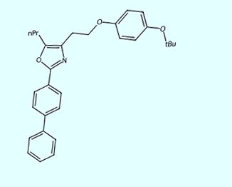 CCCc1oc(-c2ccc(-c3ccccc3)cc2)nc1CCOc1ccc(OC(C)(C)C)cc1